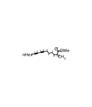 CCCCCCC#CC#CCCCCC(C)C(=O)OC